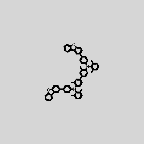 Cc1cc(-c2ccc(N(c3ccc(-c4ccc5oc6ccccc6c5c4)cc3)c3c(C)cccc3C)c(C)c2)ccc1N(c1ccc(-c2ccc3oc4ccccc4c3c2)cc1)c1c(C)cccc1C